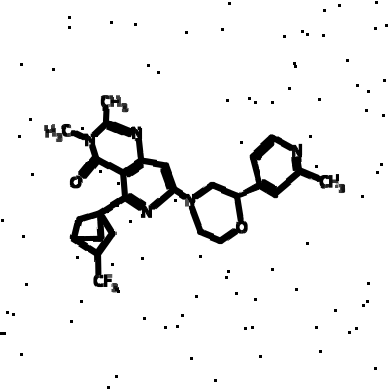 Cc1cc([C@@H]2CN(c3cc4nc(C)n(C)c(=O)c4c(C45CC(C4)C(C(F)(F)F)C5)n3)CCO2)ccn1